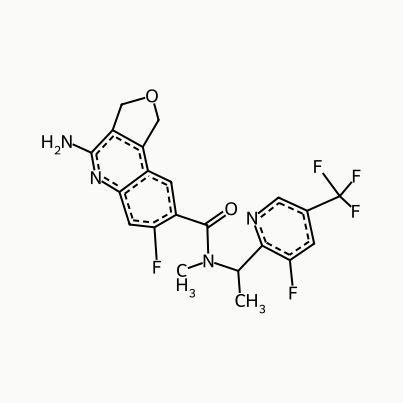 CC(c1ncc(C(F)(F)F)cc1F)N(C)C(=O)c1cc2c3c(c(N)nc2cc1F)COC3